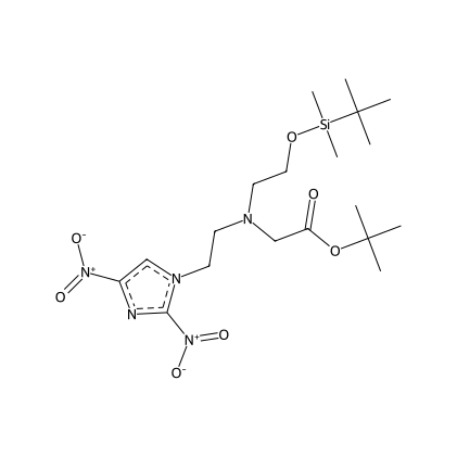 CC(C)(C)OC(=O)CN(CCO[Si](C)(C)C(C)(C)C)CCn1cc([N+](=O)[O-])nc1[N+](=O)[O-]